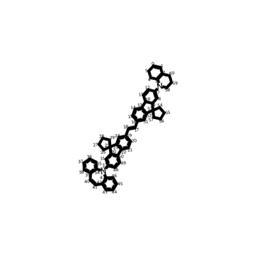 C1=CC2=C(CC1)N(C1=CC3C(C=C1)c1ccc(/C=C/c4ccc5c(c4)C4(CCCC4)c4cc(N6c7ccccc7C=Cc7ccccc76)ccc4-5)cc1C31CCCC1)CCC2